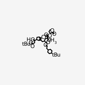 CC(CC(CC1C(C)C2CC(C(O)CC(=O)OC(C)(C)C)C1C2)C(=O)OCCC1CCC(C(C)(C)C)CC1)C(=O)OC1CCOC1=O